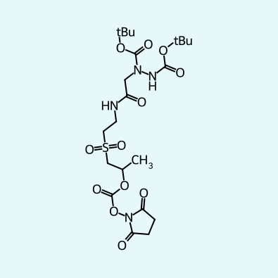 CC(CS(=O)(=O)CCNC(=O)CN(NC(=O)OC(C)(C)C)C(=O)OC(C)(C)C)OC(=O)ON1C(=O)CCC1=O